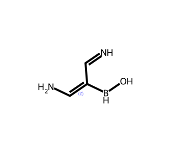 N=C/C(BO)=C\N